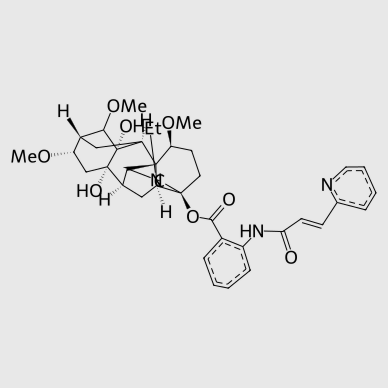 CCN1C[C@]2(OC(=O)c3ccccc3NC(=O)/C=C/c3ccccn3)CC[C@H](OC)[C@]34C1[C@@H](C[C@H]23)[C@@]1(O)C[C@H](OC)[C@H]2C[C@@H]4[C@]1(O)C2OC